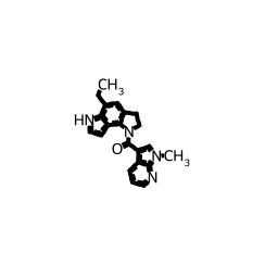 CCc1cc2c(c3cc[nH]c13)N(C(=O)c1cn(C)c3ncccc13)CC2